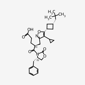 CC(C)(C)C[C@H]1C[C@@H](c2onc(C[C@H](CCC(=O)O)C(=O)N3C(=O)OC[C@@H]3Cc3ccccc3)c2C2CC2)C1